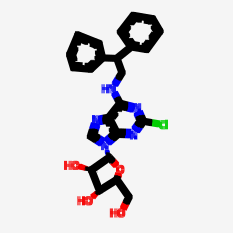 OCC1O[C@@H](n2cnc3c(NCC(c4ccccc4)c4ccccc4)nc(Cl)nc32)[C@H](O)[C@@H]1O